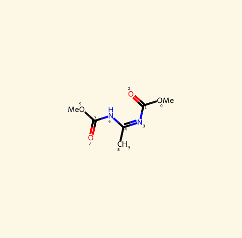 COC(=O)/N=C(/C)NC(=O)OC